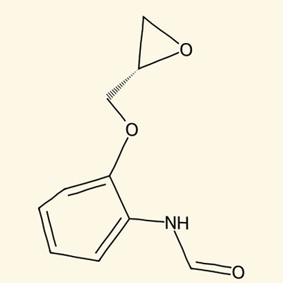 O=CNc1ccccc1OC[C@@H]1CO1